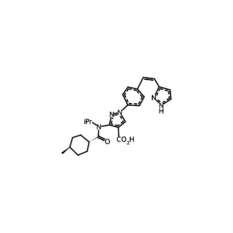 CC(C)N(c1nn(-c2ccc(/C=C\c3cc[nH]n3)cc2)cc1C(=O)O)C(=O)[C@H]1CC[C@H](C)CC1